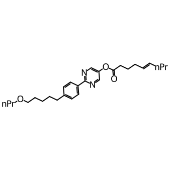 CCCC=CCCCC(=O)Oc1cnc(-c2ccc(CCCCCOCCC)cc2)nc1